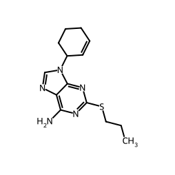 CCCSc1nc(N)c2ncn(C3C=CCCC3)c2n1